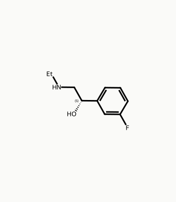 CCNC[C@@H](O)c1cccc(F)c1